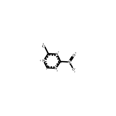 O=[N+]([O-])c1ncnc(Cl)n1